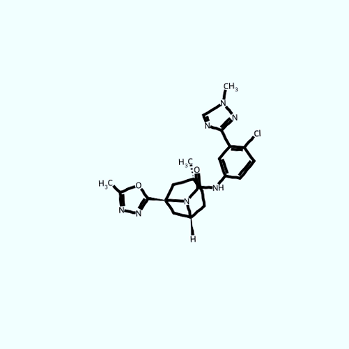 Cc1nnc([C@]23C[C@H](C)CC[C@H](C2)N3C(=O)Nc2ccc(Cl)c(-c3ncn(C)n3)c2)o1